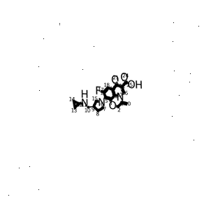 C=C1COc2c(N3CC[C@@H](CNC4CC4)C3)c(F)cc3c(=O)c(C(=O)O)cn1c23